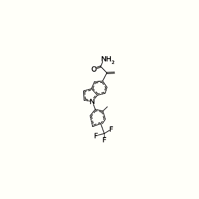 C=C(C(N)=O)c1ccc2c(ccn2-c2ccc(C(F)(F)F)cc2C)c1